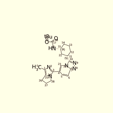 Cc1nc(-c2ccc3nnc([C@H]4CCC[C@@H](NC(=O)OC(C)(C)C)C4)n3c2)n2c1CCC2